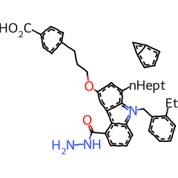 CCCCCCCc1cc(OCCCc2ccc(C(=O)O)cc2)cc2c3c(C(=O)NN)cccc3n(Cc3ccccc3CC)c12.c1cc2cc-2c1